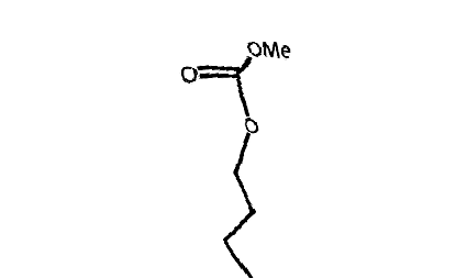 CCCCCCCOC(=O)OC